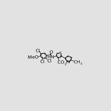 COc1c(Cl)cc(C(=O)Nc2csc(-c3ccc(C)cc3)c2C(=O)O)c(Cl)c1Cl